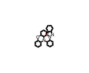 c1ccc2c(c1)Oc1ccccc1N2c1ccccc1-n1nc2ccccc2n1